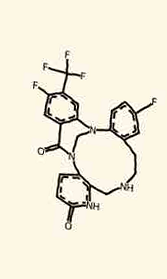 O=C1c2cc(F)c(C(F)(F)F)cc2N2CN1c1ccc(=O)[nH]c1CNCCc1cc(F)ccc12